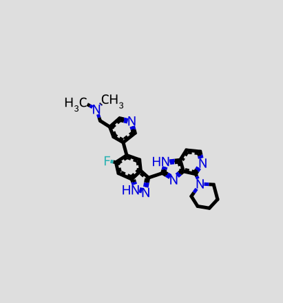 CN(C)Cc1cncc(-c2cc3c(-c4nc5c(N6CCCCC6)nccc5[nH]4)n[nH]c3cc2F)c1